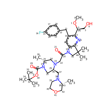 CO[C@@H](CO)c1nc2c(cc1Cc1ccc(F)cc1)N(C(=O)CN1C[C@@H](C)N(C(=O)OC(C)(C)C)C[C@@H]1CN1CCOC[C@H]1C)CC2(C)C